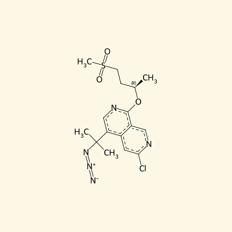 C[C@H](CCS(C)(=O)=O)Oc1ncc(C(C)(C)N=[N+]=[N-])c2cc(Cl)ncc12